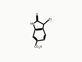 CCC1C(=O)Nc2cc(C(=O)O)ccc21